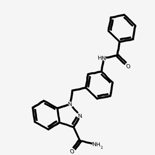 NC(=O)c1nn(Cc2cccc(NC(=O)c3ccccc3)c2)c2ccccc12